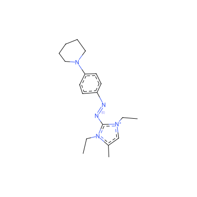 CCn1c(C)c[n+](CC)c1/N=N/c1ccc(N2CCCCC2)cc1